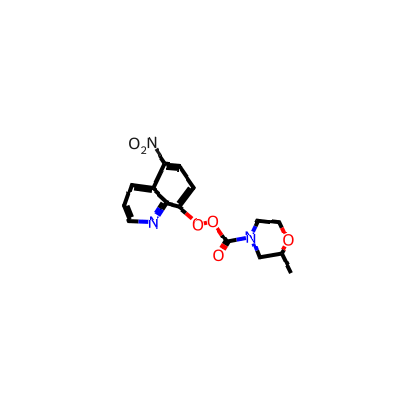 CC1CN(C(=O)OOc2ccc([N+](=O)[O-])c3cccnc23)CCO1